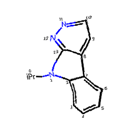 CC(C)n1c2ccccc2c2ccnnc21